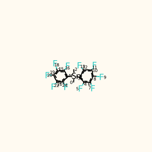 [CH3][Sn]([CH3])([c]1c(F)c(F)c(F)c(F)c1F)[c]1c(F)c(F)c(F)c(F)c1F